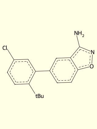 CC(C)(C)c1ccc(Cl)cc1-c1ccc2onc(N)c2c1